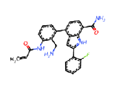 C=CC(=O)Nc1cccc(-c2ccc(C(N)=O)c3[nH]c(-c4ccccc4F)cc23)c1CN